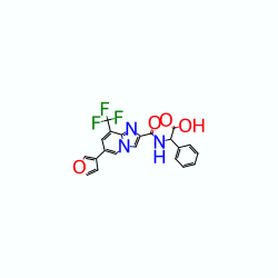 O=C(NC(C(=O)O)c1ccccc1)c1cn2cc(-c3ccoc3)cc(C(F)(F)F)c2n1